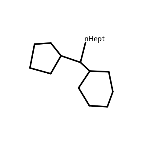 CCCCCCCC(C1CCCCC1)C1CCCC1